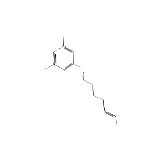 C/C=C/[C@@H](O)CCCOc1cc(Cl)cc(Cl)c1